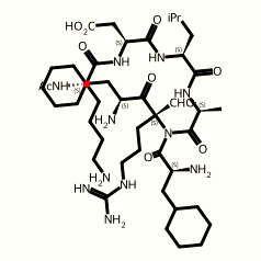 CC(=O)N[C@@H](CCCCN)C(=O)N[C@@H](CC(=O)O)C(=O)N[C@@H](CC(C)C)C(=O)N[C@@H](C)C(=O)N(C(=O)[C@@H](N)CC1CCCCC1)[C@]([C]=O)(CCCNC(=N)N)C(=O)[C@@H](N)CC1CCCCC1